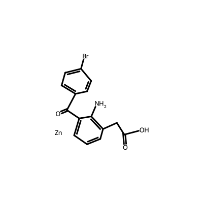 Nc1c(CC(=O)O)cccc1C(=O)c1ccc(Br)cc1.[Zn]